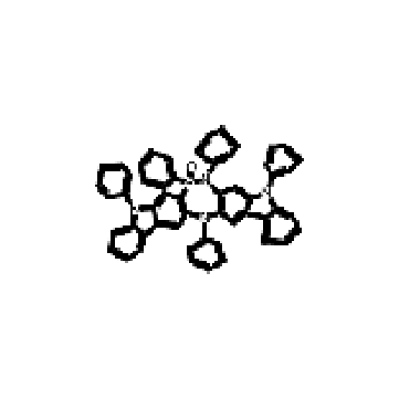 O=P1(c2ccccc2)c2cc3c(cc2N(c2ccccc2)c2cc4c5ccccc5n(-c5ccccc5)c4cc2N1c1ccccc1)c1ccccc1n3-c1ccccc1